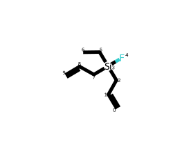 C=CC[Si](F)(CC)CC=C